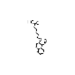 O=Cc1c(OCCCCCC(=O)O)ccc2ccccc12